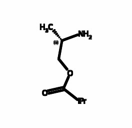 CC(C)C(=O)OC[C@H](C)N